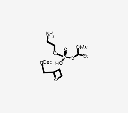 CCC(OC)OP(=O)(O)OCCN.CCCCCCCCCCCC1CCO1